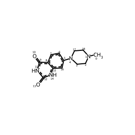 CN1CCN(c2ccc3c(=O)[nH]c(=O)[nH]c3c2)CC1